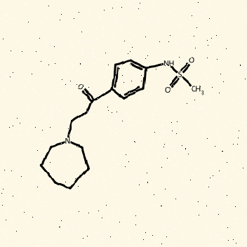 CS(=O)(=O)Nc1ccc(C(=O)CCN2CCCCCC2)cc1